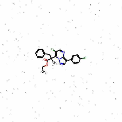 CCOC(=O)C(C)(Cc1ccccc1)c1c(F)cnc2c(-c3ccc(Cl)cc3)cnn12